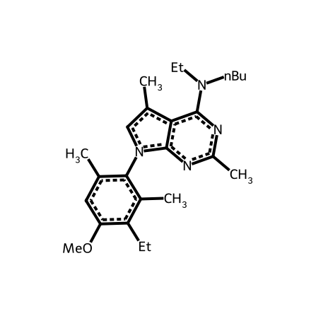 CCCCN(CC)c1nc(C)nc2c1c(C)cn2-c1c(C)cc(OC)c(CC)c1C